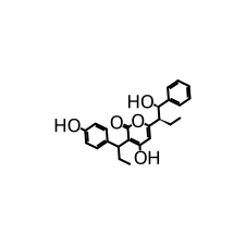 CCC(c1ccc(O)cc1)c1c(O)cc([C@H](CC)[C@@H](O)c2ccccc2)oc1=O